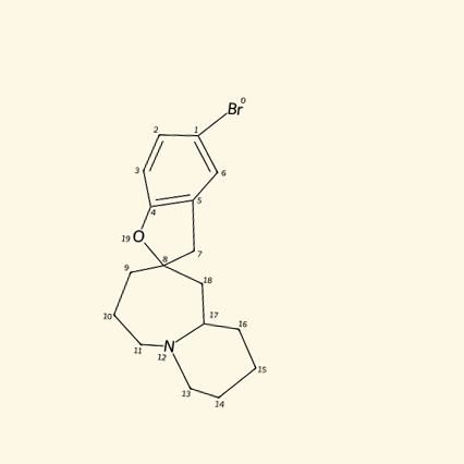 Brc1ccc2c(c1)CC1(CCCN3CCCCC3C1)O2